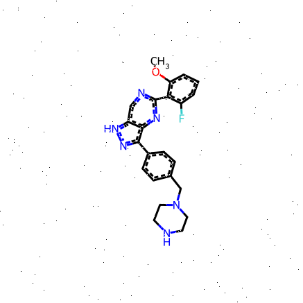 COc1cccc(F)c1-c1ncc2[nH]nc(-c3ccc(CN4CCNCC4)cc3)c2n1